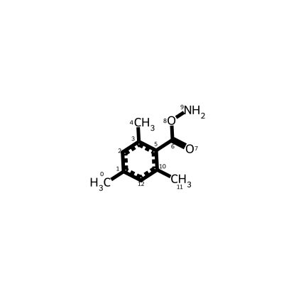 Cc1cc(C)c(C(=O)ON)c(C)c1